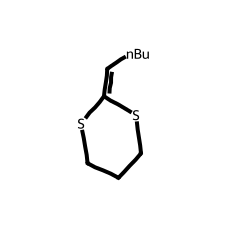 CCCCC=C1SCCCS1